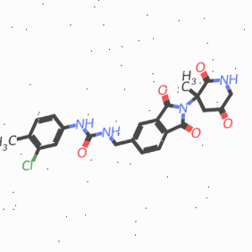 Cc1ccc(NC(=O)NCc2ccc3c(c2)C(=O)N(C2(C)CC(=O)CNC2=O)C3=O)cc1Cl